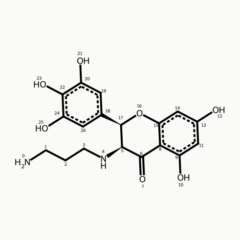 NCCCN[C@@H]1C(=O)c2c(O)cc(O)cc2O[C@@H]1c1cc(O)c(O)c(O)c1